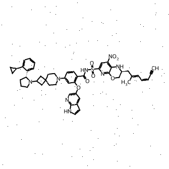 C#C/C=C\C=C(/C)C[C@H]1COc2nc(S(=O)(=O)NC(=O)c3ccc(N4CCC5(CC4)CC(N4CCC[C@@H]4c4ccccc4C4CC4)C5)cc3Oc3cnc4[nH]ccc4c3)cc([N+](=O)[O-])c2N1